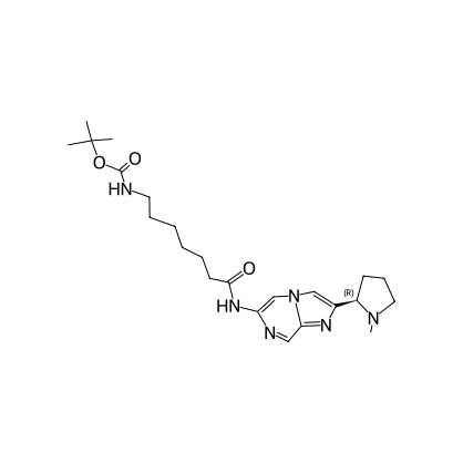 CN1CCC[C@@H]1c1cn2cc(NC(=O)CCCCCCNC(=O)OC(C)(C)C)ncc2n1